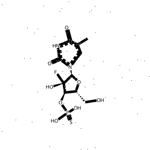 Cc1cn([C@@H]2O[C@H](CO)[C@@H](OP(O)(O)=S)[C@]2(O)F)c(=O)[nH]c1=O